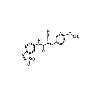 COc1ccc(C=C(C#N)C(=O)Nc2ccc3c(c2)S(=O)(=O)C=C3)cn1